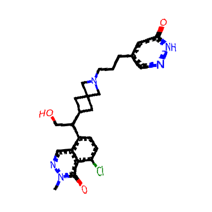 Cn1ncc2c(C(CO)C3CC4(C3)CN(CCCc3cn[nH]c(=O)c3)C4)ccc(Cl)c2c1=O